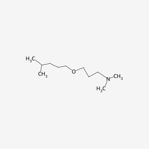 CC(C)CCCOCCCN(C)C